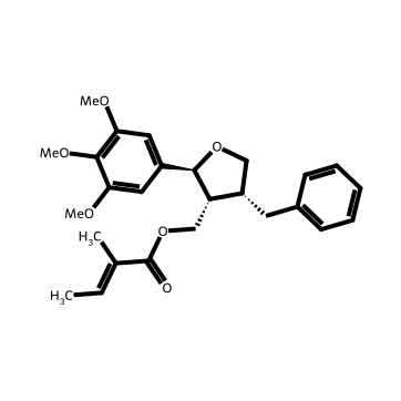 C/C=C(\C)C(=O)OC[C@H]1[C@@H](Cc2ccccc2)CO[C@@H]1c1cc(OC)c(OC)c(OC)c1